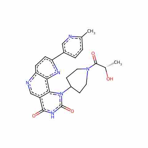 Cc1ccc(-c2ccc3ncc4c(=O)[nH]c(=O)n(C5CCN(C(=O)[C@H](C)O)CC5)c4c3n2)cn1